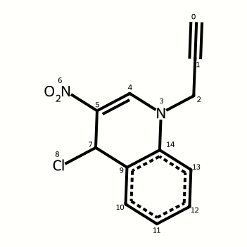 C#CCN1C=C([N+](=O)[O-])C(Cl)c2ccccc21